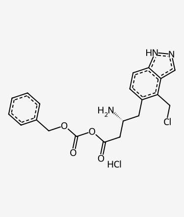 Cl.N[C@@H](CC(=O)OC(=O)OCc1ccccc1)Cc1ccc2[nH]ncc2c1CCl